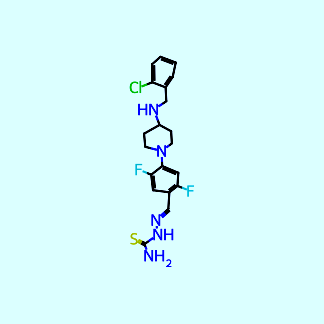 NC(=S)N/N=C/c1cc(F)c(N2CCC(NCc3ccccc3Cl)CC2)cc1F